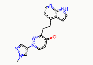 Cn1cc(-n2ccc(=O)c(CCc3ccnc4[nH]ccc34)n2)cn1